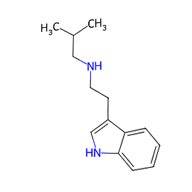 CC(C)CNCCc1c[nH]c2ccccc12